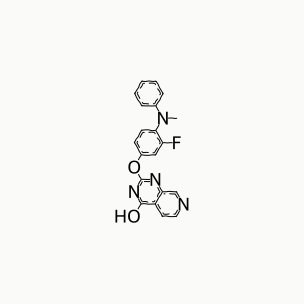 CN(c1ccccc1)c1ccc(Oc2nc(O)c3ccncc3n2)cc1F